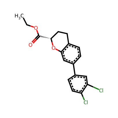 CCOC(=O)[C@@H]1CCc2ccc(-c3ccc(Cl)c(Cl)c3)cc2O1